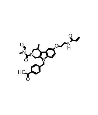 C=CC(=O)NCCOc1ccc2c(c1)c1c(n2Cc2ccc(C(=O)O)cc2)CN(C(=O)N(C)C=O)CC1C